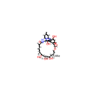 CO[C@H]1/C=C/O[C@@]2(C)Oc3cc(O)c4c(O)c(c5c(nc6cc(C)ccn65)c4c3C2=O)NC(=O)/C(C)=C\C=C\[C@H](C)C(O)[C@@H](C)[C@@H](O)[C@@H](C)C(O)[C@@H]1C